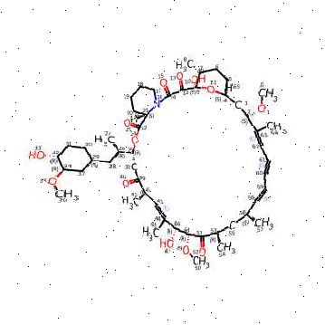 CO[C@H]1C[C@@H]2CC[C@@H](C)[C@@](O)(O2)C(=O)C(=O)N2CCCC[C@H]2C(=O)O[C@@H]([C@H](C)C[C@@H]2CC[C@@H](O)[C@H](OC)C2)CC(=O)[C@H](C)/C=C(\C)[C@@H](O)[C@@H](OC)C(=O)[C@H](C)C[C@H](C)/C=C/C=C/C=C/1C